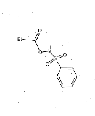 CCC(=O)ONS(=O)(=O)c1ccccc1